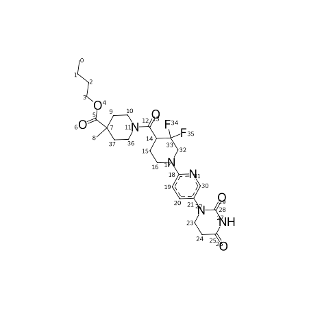 CCCCOC(=O)C1(C)CCN(C(=O)C2CCN(c3ccc(N4CCC(=O)NC4=O)cn3)CC2(F)F)CC1